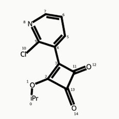 CC(C)Oc1c(-c2cccnc2Cl)c(=O)c1=O